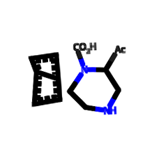 CC(=O)C1CNCCN1C(=O)O.c1cc2ccc1-2